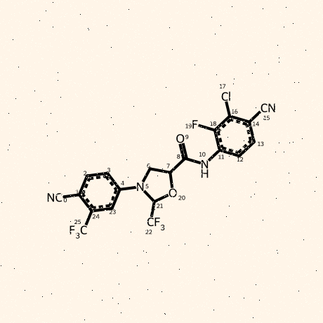 N#Cc1ccc(N2CC(C(=O)Nc3ccc(C#N)c(Cl)c3F)OC2C(F)(F)F)cc1C(F)(F)F